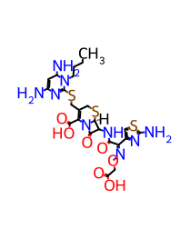 CCCCN1C(SCC2=C(C(=O)O)N3C(=O)C(NC(=O)/C(=N\OCC(=O)O)c4csc(N)n4)[C@@H]3SC2)=NC(N)=CC1N